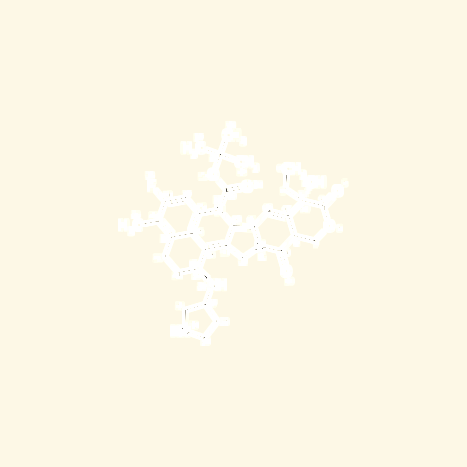 CC[C@@]1(O)C(=O)OCC2C(=O)N3CC4=C5c6c(cc(F)c(C)c6CC[C@@H]5NC5CCNC5)N(C(=O)OC(C)(C)C)C4=C3C=C21